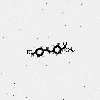 CCOC(=O)c1ccc(/C=C/c2ccc(CO)cc2)cc1